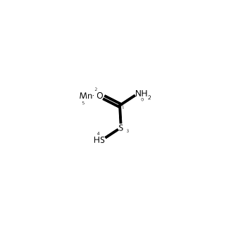 NC(=O)SS.[Mn]